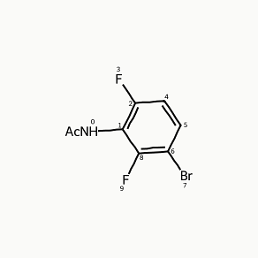 CC(=O)Nc1c(F)ccc(Br)c1F